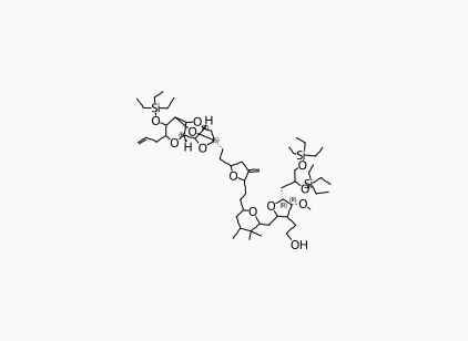 C=CCC1O[C@@H]2C3O[C@@H]4C[C@](CCC5CC(=C)C(CCC6CC(C)C(C)(C)C(CC7O[C@H](CC(CO[Si](CC)(CC)CC)O[Si](CC)(CC)CC)[C@H](OC)C7CCO)O6)O5)(OC3C1O[Si](CC)(CC)CC)OC24